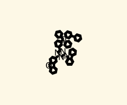 c1ccc(-c2cccc([Si](c3ccccc3)(c3ccccc3)c3cccc(-c4nc(-c5ccc6oc7ccccc7c6c5)nc(-n5c6ccccc6c6ccccc65)n4)c3)c2)cc1